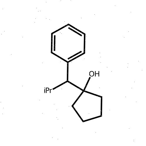 CC(C)C(c1ccccc1)C1(O)CCCC1